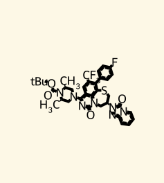 C[C@@H]1CN(c2nc(=O)n3c4c(c(-c5ccc(F)cc5)c(C(F)(F)F)cc24)SC[C@@H](n2nc4ccccn4c2=O)C3)C[C@H](C)N1C(=O)OC(C)(C)C